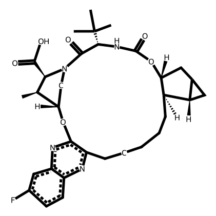 C[C@@H]1[C@@H]2CN(C(=O)[C@H](C(C)(C)C)NC(=O)O[C@@H]3CC4C[C@@H]4[C@H]3CCCCCc3nc4ccc(F)cc4nc3O2)[C@@H]1C(=O)O